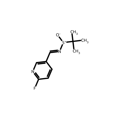 CC(C)(C)[S+]([O-])N=Cc1ccc(F)nc1